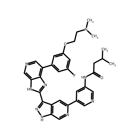 CC(C)CC(=O)Nc1cncc(-c2cc3c(-c4nc5c(-c6cc(F)cc(OCCN(C)C)c6)cncc5[nH]4)n[nH]c3cn2)c1